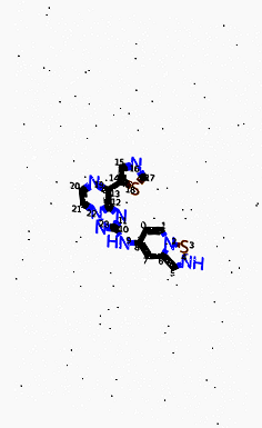 C1=CN2SNC=C2C=C1Nc1nc2c(-c3cncs3)nccn2n1